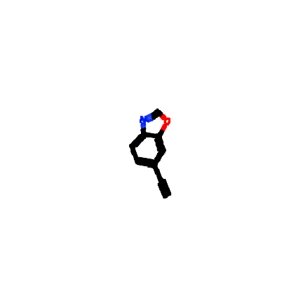 C#Cc1ccc2n[c]oc2c1